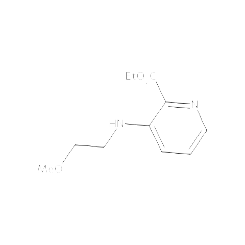 CCOC(=O)c1ncccc1NCCOC